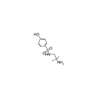 CC(C)(N)CNS(=O)(=O)c1ccc(O)cc1